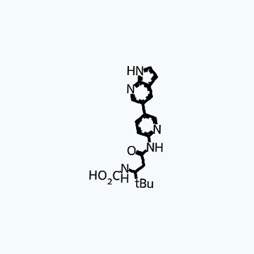 CC(C)(C)C(CC(=O)Nc1ccc(-c2cnc3[nH]ccc3c2)cn1)NC(=O)O